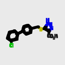 O=C(O)c1nn[nH]c1SCc1ccc(-c2cccc(Cl)c2)cc1